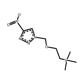 C[Si](C)(C)CCOCn1cc([N+](=O)[O-])nn1